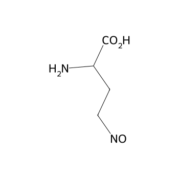 NC(CCN=O)C(=O)O